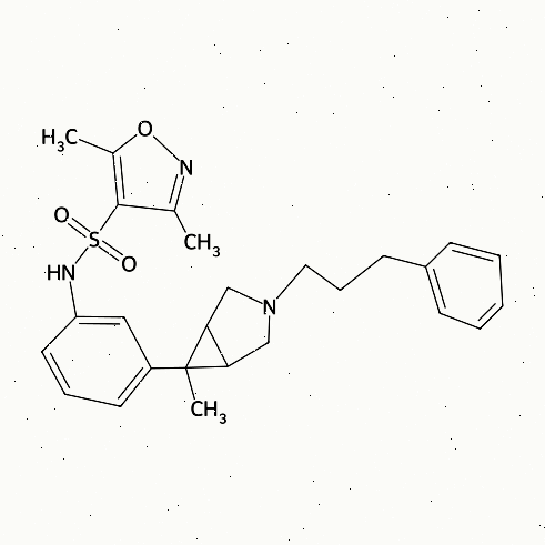 Cc1noc(C)c1S(=O)(=O)Nc1cccc(C2(C)C3CN(CCCc4ccccc4)CC32)c1